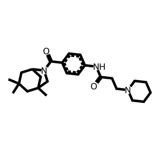 CC1(C)CC2CC(C)(CN2C(=O)c2ccc(NC(=O)CCN3CCCCC3)cc2)C1